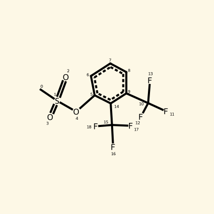 CS(=O)(=O)Oc1cccc(C(F)(F)F)c1C(F)(F)F